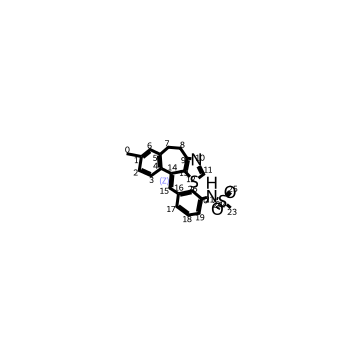 Cc1ccc2c(c1)CCc1ncsc1/C2=C\c1cccc(NS(C)(=O)=O)c1